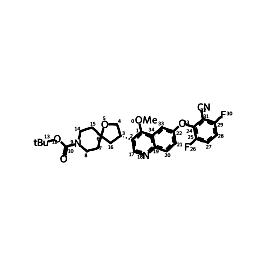 COc1c([C@H]2COC3(CCN(C(=O)OC(C)(C)C)CC3)C2)cnc2ccc(Oc3c(F)ccc(F)c3C#N)cc12